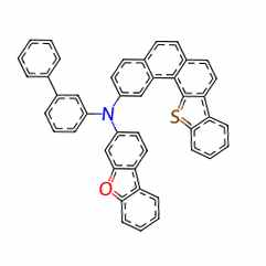 c1ccc(-c2cccc(N(c3ccc4c(c3)oc3ccccc34)c3ccc4ccc5ccc6c7ccccc7sc6c5c4c3)c2)cc1